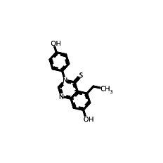 CCc1cc(O)cc2ncn(-c3ccc(O)cc3)c(=S)c12